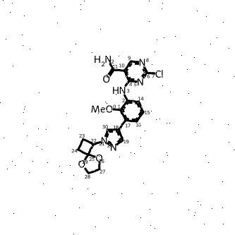 COc1c(Nc2nc(Cl)ncc2C(N)=O)cccc1-c1cnn(C2CCC23OCCO3)c1